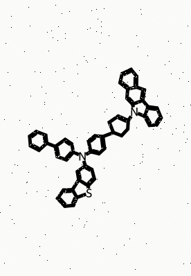 C1=C(n2c3ccccc3c3cc4ccccc4cc32)CCC(c2ccc(N(c3ccc(-c4ccccc4)cc3)c3ccc4sc5ccccc5c4c3)cc2)C1